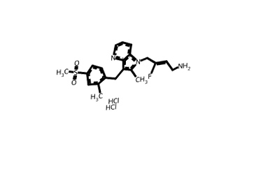 Cc1cc(S(C)(=O)=O)ccc1Cc1c(C)n(C/C(F)=C/CN)c2cccnc12.Cl.Cl